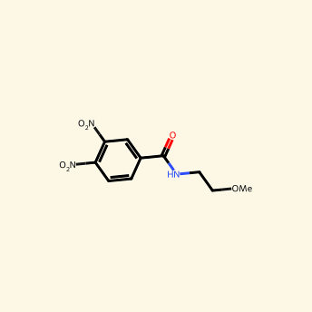 COCCNC(=O)c1ccc([N+](=O)[O-])c([N+](=O)[O-])c1